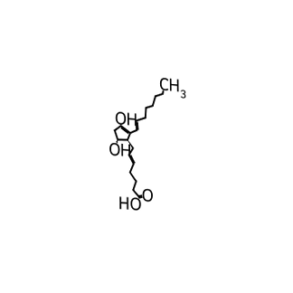 CCCCCCC=CC1=C(O)C[C@H](O)[C@@H]1C/C=C/CCCC(=O)O